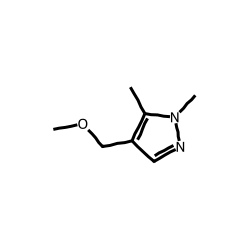 COCc1cnn(C)c1C